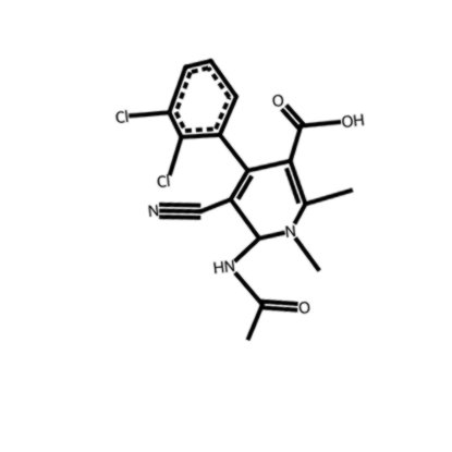 CC(=O)NC1C(C#N)=C(c2cccc(Cl)c2Cl)C(C(=O)O)=C(C)N1C